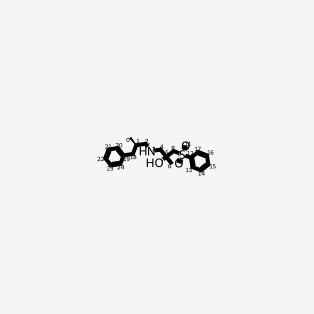 C[C@@H]([CH]NCC(C)(O)CS(=O)(=O)c1ccccc1)Cc1ccccc1